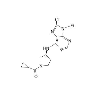 CCn1c(Cl)nc2c(N[C@H]3CCN(C(=O)C4CC4)C3)ncnc21